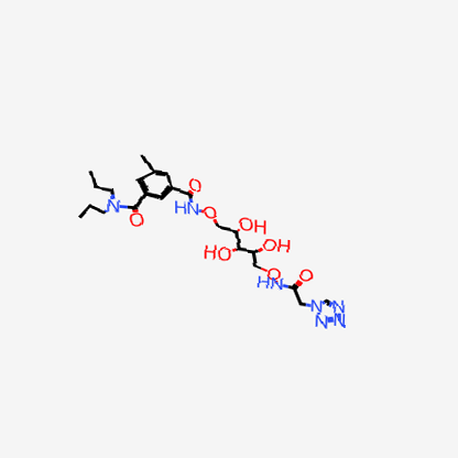 CCCN(CCC)C(=O)c1cc(C)cc(C(=O)NOC[C@H](O)[C@H](O)C(O)CONC(=O)Cn2cnnn2)c1